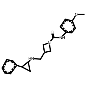 COc1ccc(NC(=O)N2CC(CNC3CC3c3ccccc3)C2)cc1